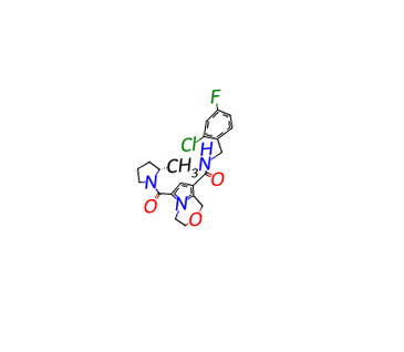 C[C@H]1CCCN1C(=O)c1cc(C(=O)NCc2ccc(F)cc2Cl)c2n1CCOC2